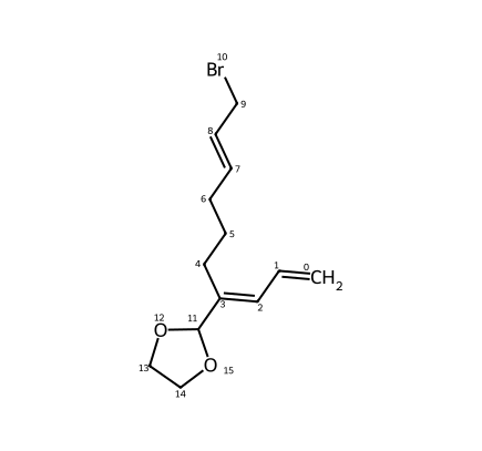 C=C/C=C(\CCC/C=C/CBr)C1OCCO1